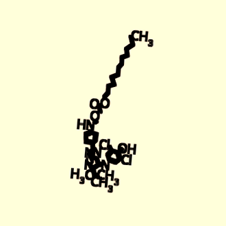 CCCCCCCCCCCCCCOC(=O)COCNc1ccc(-c2nc3n(n2)N=C(C(C)(C)C)/C3=N/c2cc(Cl)c(O)c(Cl)c2)cc1